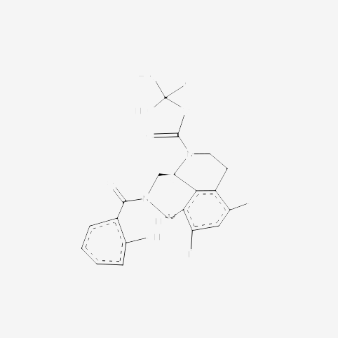 Cc1ccccc1C(=O)N(C=O)C[C@@H]1c2c(O)c(F)cc(Cl)c2CCN1C(=O)OC(C)(C)C